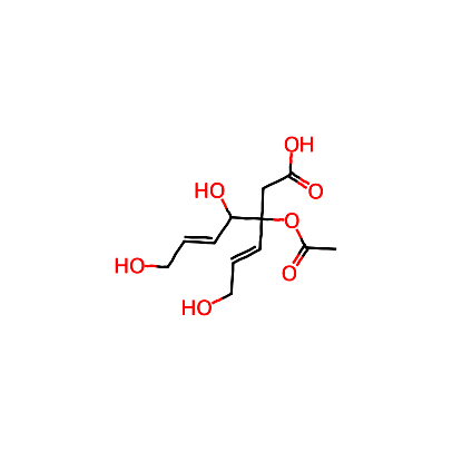 CC(=O)OC(C=CCO)(CC(=O)O)C(O)C=CCO